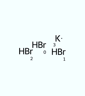 Br.Br.Br.[K]